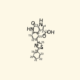 O=C(O)c1c[nH]c2c(=O)[nH]c3ccc(-c4csc(-c5ccccc5)n4)cc3c12